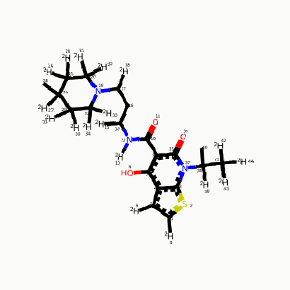 [2H]c1sc2c(c1[2H])c(O)c(C(=O)N([2H])C([2H])CC([2H])N1C([2H])([2H])C([2H])([2H])C([2H])(C)C([2H])([2H])C1([2H])[2H])c(=O)n2C([2H])(C)C([2H])([2H])[2H]